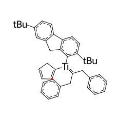 CC(C)(C)c1ccc2c(c1)Cc1c-2ccc(C(C)(C)C)[c]1[Ti]([C]1=CC=CC1)=[C](Cc1ccccc1)Cc1ccccc1